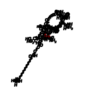 CCCC[C@H](NC(=O)[C@H](CCCCN(CC(=O)O)CC(=O)O)NC(=O)[C@H](Cc1c[nH]cn1)NC(=O)[C@H](CCC(N)=O)NC(=O)[C@H](CO)NC(=O)CNC(=O)COCCOCCNC(=O)CCCCCCCCCCCCCCCC1=NNNN1)C(=O)N[C@H]1CCC(=O)CCCCC[C@@H](C(N)=O)NC(=O)[C@H](Cc2c[nH]c3ccccc23)NC(=O)[C@H](CCCNC(=N)N)NC(=O)[C@@H](Cc2ccccc2)NC(=O)[C@@H]2C[C@@H](O)CN2C1=O